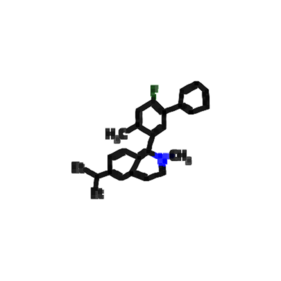 CCC(CC)c1ccc2c(-c3cc(-c4ccccc4)c(F)cc3C)[n+](C)ccc2c1